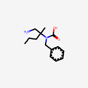 CCCC(C)(CN)N(Cc1ccccc1)C(=O)O